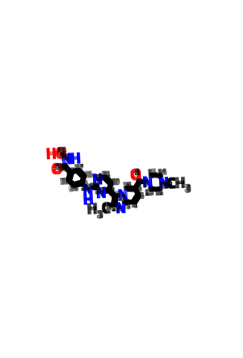 Cc1nc2ccc(C(=O)N3CCN(C)CC3)cn2c1-c1ccnc(Nc2ccc(C(=O)NO)cc2)n1